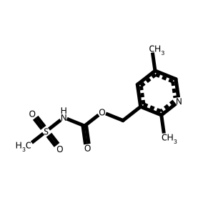 Cc1cnc(C)c(COC(=O)NS(C)(=O)=O)c1